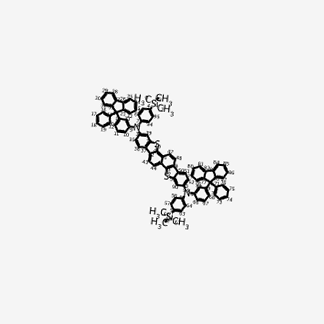 C[Si](C)(C)c1ccc(N(c2cccc(C3(c4ccccc4)c4ccccc4-c4ccccc43)c2)c2ccc3c(c2)sc2c3ccc3c2ccc2c4ccc(N(c5ccc([Si](C)(C)C)cc5)c5cccc(C6(c7ccccc7)c7ccccc7-c7ccccc76)c5)cc4sc23)cc1